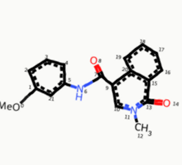 COc1cccc(NC(=O)c2cn(C)c(=O)c3ccccc23)c1